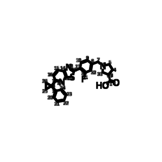 O=C(O)[C@@H]1CCN(Cc2ccc(-c3nc4ccc(C5(c6ccccc6)CC5)nc4s3)c(F)c2)C1